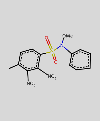 CON(c1ccccc1)S(=O)(=O)c1ccc(C)c([N+](=O)[O-])c1[N+](=O)[O-]